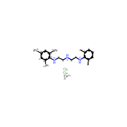 Cc1cccc(C)c1NCCNCCNc1c(C(C)C)cc(C(C)C)cc1C(C)C.[Cl-].[Cl-].[Co+2]